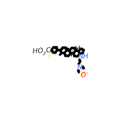 CC1C(c2ccc(C(=O)O)c(F)c2)=CCC2(C)C1CC[C@]1(C)C2CC[C@@H]2C3CCCC3(NCCCN3CC[S+]([O-])CC3)CC[C@]21C